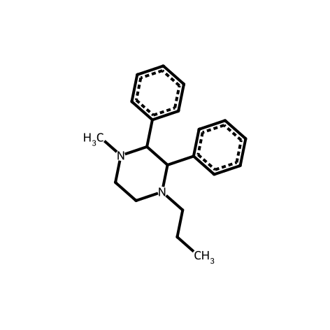 CCCN1CCN(C)C(c2ccccc2)C1c1ccccc1